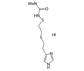 CNC(=O)NSCCSCCc1c[nH]cn1.I